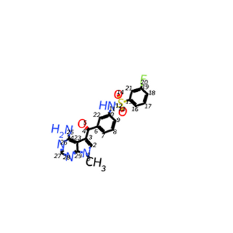 Cn1cc(C(=O)c2cccc(NS(=O)(=O)c3cccc(F)c3)c2)c2c(N)ncnc21